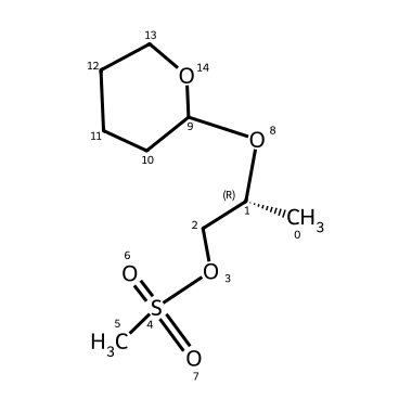 C[C@H](COS(C)(=O)=O)OC1CCCCO1